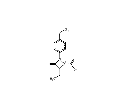 CCC1C(=O)N(c2ccc(OC)cc2)[C@@H]1C(=O)O